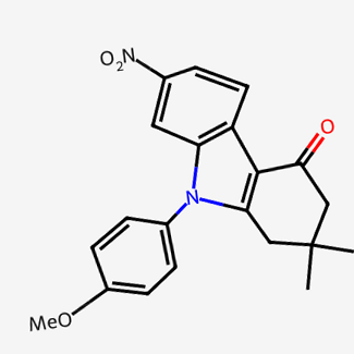 COc1ccc(-n2c3c(c4ccc([N+](=O)[O-])cc42)C(=O)CC(C)(C)C3)cc1